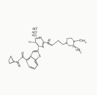 C[C@H]1CN(CCCNc2ncc(Cl)c(-c3cc4c(C(=O)NC5CC5)cccc4s3)n2)CCN1C.Cl.Cl.Cl